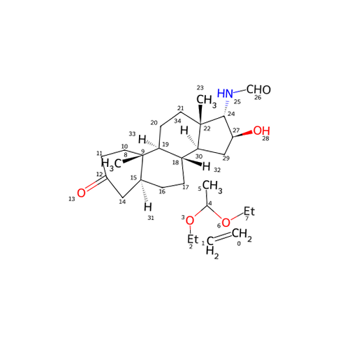 C=C.CCOC(C)OCC.C[C@]12CCC(=O)C[C@@H]1CC[C@@H]1[C@@H]2CC[C@]2(C)[C@H](NC=O)[C@@H](O)C[C@@H]12